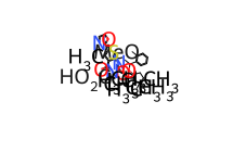 COc1ccccc1C(Cn1c(=O)n(C(C)(C)C(=O)O)c(=O)c2c(C)c(-c3ncco3)sc21)O[C@H]1C[C@H](C)C(C)(C)C1(C)C